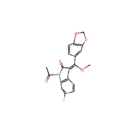 COC(=C1C(=O)N(C(C)=O)c2cc(F)ccc21)c1ccc2c(c1)OCO2